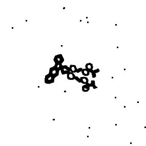 C=C(C)C(=O)OCCOCCC1(CCOCCOC(=O)C(=C)C)c2ccccc2-c2cc3ccccc3cc21